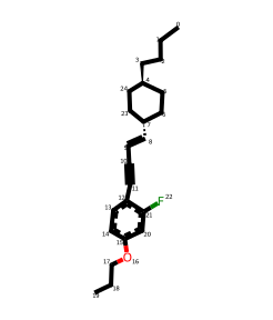 CCCC[C@H]1CC[C@H](C=CC#Cc2ccc(OCCC)cc2F)CC1